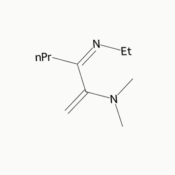 C=C(/C(CCC)=N\CC)N(C)C